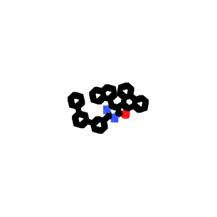 c1ccc(-c2cccc(-c3cccc(-c4nc(-c5cccc6ccccc56)c5c(n4)oc4c6ccccc6c6ccccc6c45)c3)c2)cc1